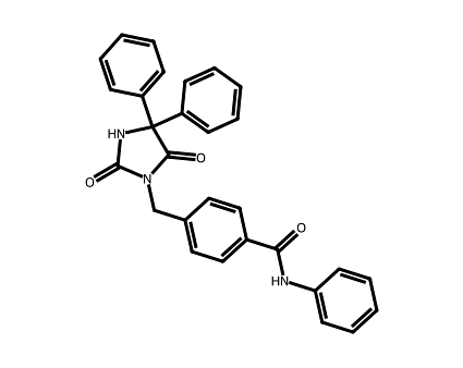 O=C(Nc1ccccc1)c1ccc(CN2C(=O)NC(c3ccccc3)(c3ccccc3)C2=O)cc1